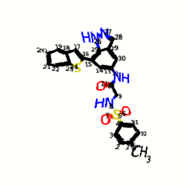 Cc1ccc(S(=O)(=O)NCC(=O)Nc2cc(-c3cc4ccccc4s3)c3[nH]ncc3c2)cc1